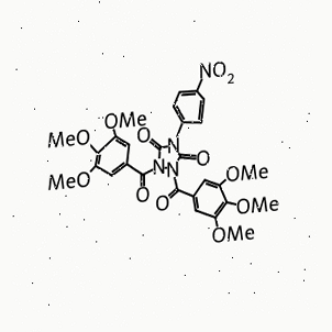 COc1cc(C(=O)n2c(=O)n(-c3ccc([N+](=O)[O-])cc3)c(=O)n2C(=O)c2cc(OC)c(OC)c(OC)c2)cc(OC)c1OC